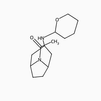 CC(=O)N1C2CCC1CC(NC1CCCCO1)C2